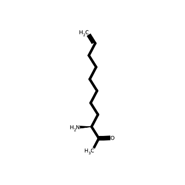 C=CCCCCCC[C@H](N)C(C)=O